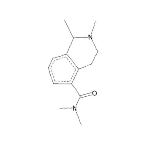 CC1c2cccc(C(=O)N(C)C)c2CCN1C